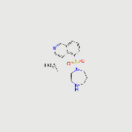 CS(=O)(=O)O.O=S(=O)(c1cccc2cnccc12)N1CCCNCC1